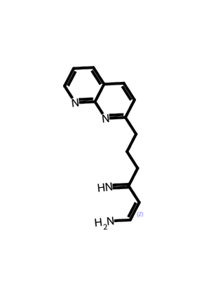 N=C(/C=C\N)CCCc1ccc2cccnc2n1